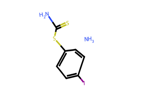 N.NC(=S)Sc1ccc(I)cc1